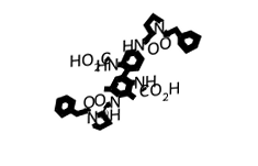 Cc1cc(-c2ccc(NC(=O)C3CCCN3C(=O)Cc3ccccc3)cc2NC(=O)O)c(NC(=O)O)c(C)c1NC(=O)[C@H]1CCCN1C(=O)Cc1ccccc1